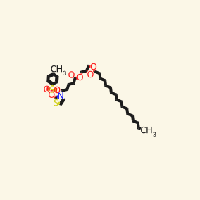 CCCCCCCCCCCCCCCCCC1OCC(COC(=O)CCCCN2C=CSC2OS(=O)(=O)c2ccc(C)cc2)O1